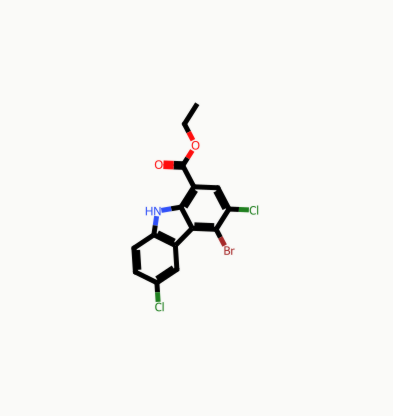 CCOC(=O)c1cc(Cl)c(Br)c2c1[nH]c1ccc(Cl)cc12